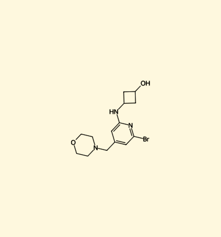 OC1CC(Nc2cc(CN3CCOCC3)cc(Br)n2)C1